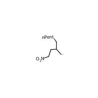 [CH2]C(CCCCCC)CC[N+](=O)[O-]